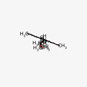 CCCCCCCCCCCCCCCCCC(=O)NC(COC(=O)CCCCCCCCCCCCCCCCC)C(=O)OCCC(C)(C)OCCC(C)(C)OC